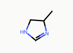 CC1[CH]N[C]=N1